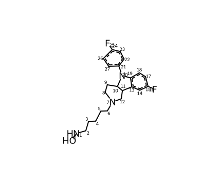 ONCCCCCN1CCC2C(C1)c1cc(F)ccc1N2c1ccc(F)cc1